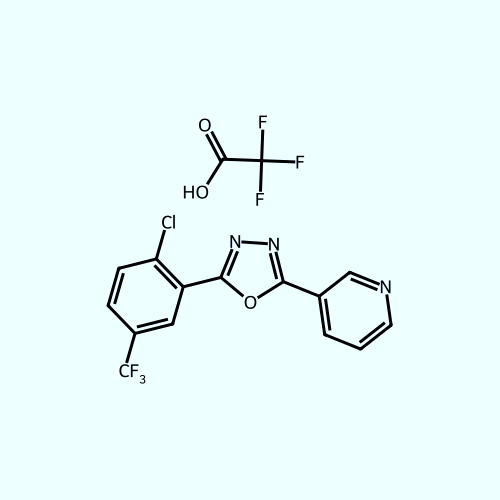 FC(F)(F)c1ccc(Cl)c(-c2nnc(-c3cccnc3)o2)c1.O=C(O)C(F)(F)F